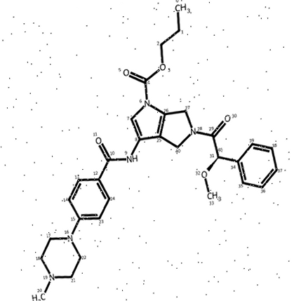 CCCOC(=O)n1cc(NC(=O)c2ccc(N3CCN(C)CC3)cc2)c2c1CN(C(=O)[C@H](OC)c1ccccc1)C2